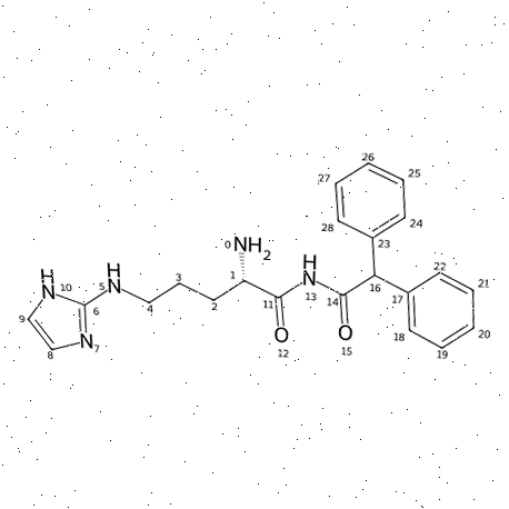 N[C@@H](CCCNc1ncc[nH]1)C(=O)NC(=O)C(c1ccccc1)c1ccccc1